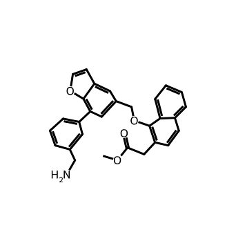 COC(=O)Cc1ccc2ccccc2c1OCc1cc(-c2cccc(CN)c2)c2occc2c1